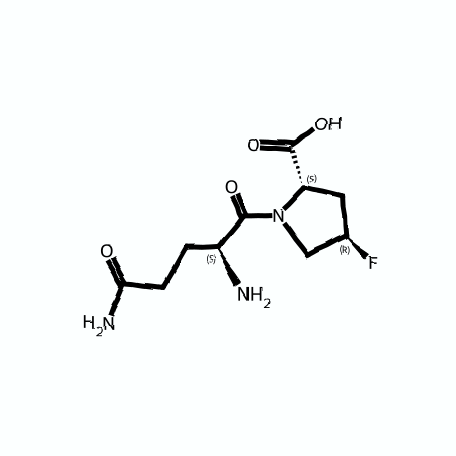 NC(=O)CC[C@H](N)C(=O)N1C[C@H](F)C[C@H]1C(=O)O